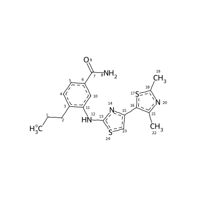 CCCc1ccc(C(N)=O)cc1Nc1nc(-c2sc(C)nc2C)cs1